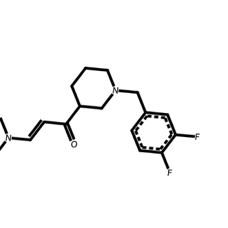 CN(C)C=CC(=O)C1CCCN(Cc2ccc(F)c(F)c2)C1